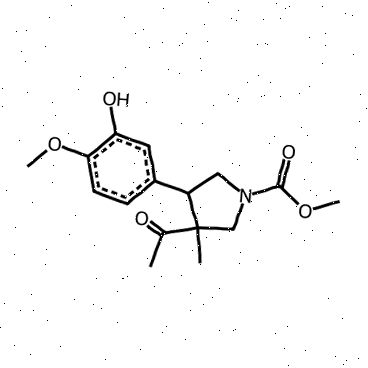 COC(=O)N1CC(c2ccc(OC)c(O)c2)C(C)(C(C)=O)C1